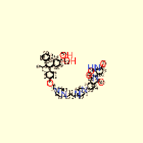 CC/C(=C(\c1ccc(OCCN2CCN(CCCN3CCN(c4ccc5c(c4)C(=O)N(C4CCC(=O)NC4=O)C5=O)CC3)CC2)cc1)c1ccc(B(O)O)cc1)c1ccccc1